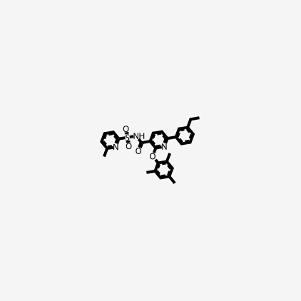 CCc1cccc(-c2ccc(C(=O)NS(=O)(=O)c3cccc(C)n3)c(Oc3c(C)cc(C)cc3C)n2)c1